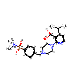 CC(C)c1ccnc(N2CCN(Cc3ccc(S(=O)(=O)N(C)C)cc3)CC2)c1C(=O)O